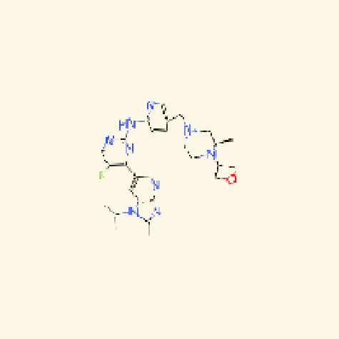 Cc1nc2ncc(-c3nc(Nc4ccc(CN5CCN(C6COC6)[C@H](C)C5)cn4)ncc3F)cc2n1C(C)C